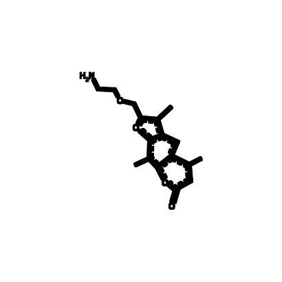 Cc1cc(=O)oc2c(C)c3oc(COCCN)c(C)c3cc12